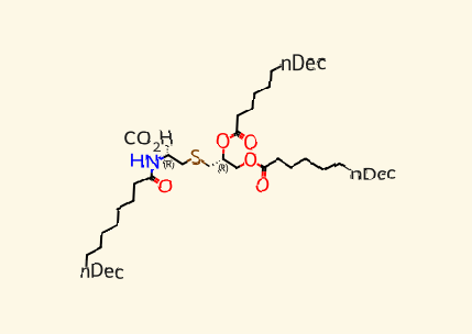 CCCCCCCCCCCCCCCCCC(=O)N[C@@H](CSC[C@@H](COC(=O)CCCCCCCCCCCCCCC)OC(=O)CCCCCCCCCCCCCCC)C(=O)O